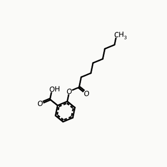 CCCCCCCC(=O)Oc1ccccc1C(=O)O